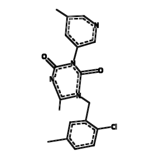 Cc1cncc(-n2c(=O)nc(C)n(Cc3cc(C)ccc3Cl)c2=O)c1